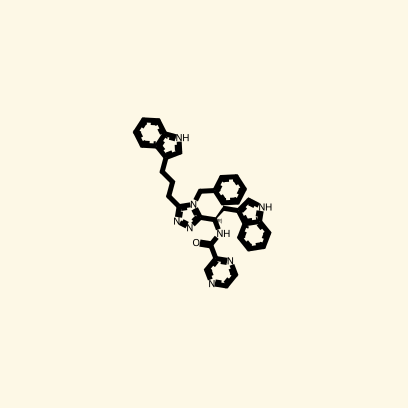 O=C(N[C@H](Cc1c[nH]c2ccccc12)c1nnc(CCCc2c[nH]c3ccccc23)n1Cc1ccccc1)c1cnccn1